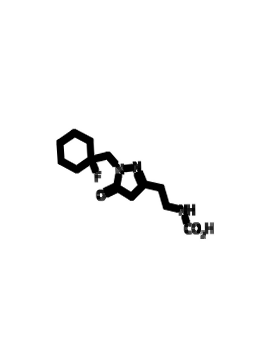 O=C(O)NCCC1=NN(CC2(F)CCCCC2)C(=O)C1